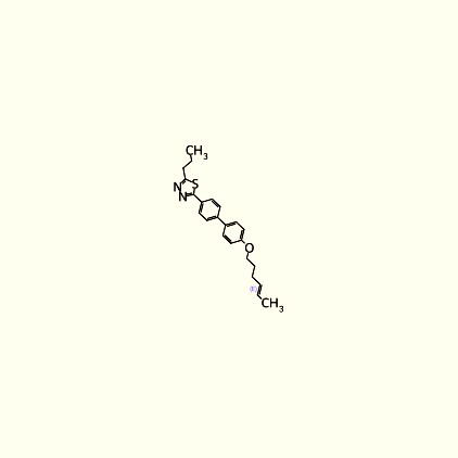 C/C=C/CCCOc1ccc(-c2ccc(-c3nnc(CCC)s3)cc2)cc1